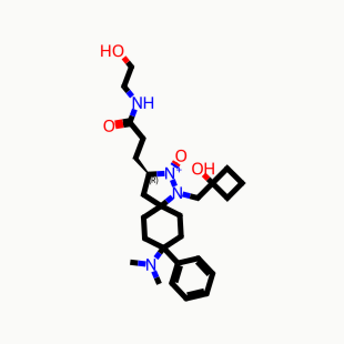 CN(C)C1(c2ccccc2)CCC2(CC1)C[C@@H](CCC(=O)NCCO)[N+](=O)N2CC1(O)CCC1